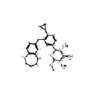 CO[C@H]1O[C@@H](c2ccc(C3CC3)c(Cc3ccc4c(c3)CCCCS4)c2)[C@H](O)[C@@H](O)[C@@H]1O